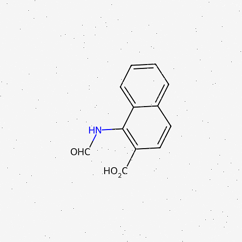 O=CNc1c(C(=O)O)ccc2ccccc12